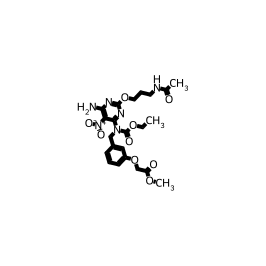 CCOC(=O)N(Cc1cccc(OCC(=O)OC)c1)c1nc(OCCCNC(C)=O)nc(N)c1[N+](=O)[O-]